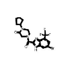 O=C(c1nc2c(C(F)(F)F)cc(Br)cc2[nH]1)N1CCN(C2CCCC2)C(=O)C1